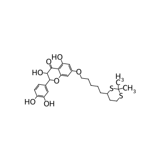 CC1(C)SCCC(CCCCCOc2cc(O)c3c(c2)OC(c2ccc(O)c(O)c2)C(O)C3=O)S1